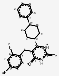 O=c1[nH]c(=O)c(Cc2ccc(F)cc2F)c([C@H]2CC[C@H](c3ccccc3)CC2)[nH]1